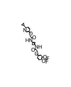 O=C(COc1ccc(C2CC2)nc1)NC12CC(NC(=O)COc3ccc4c(c3)OC(F)(F)O4)(C1)C2